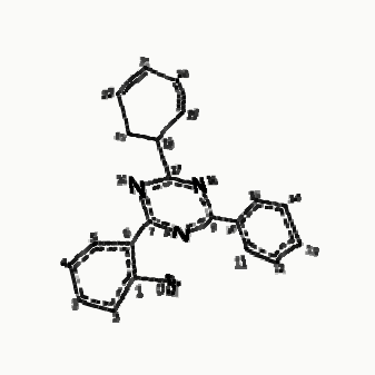 Brc1ccccc1-c1nc(-c2ccccc2)nc(C2C=CC=CC2)n1